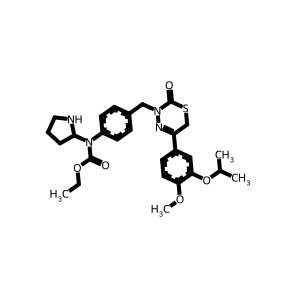 CCOC(=O)N(c1ccc(CN2N=C(c3ccc(OC)c(OC(C)C)c3)CSC2=O)cc1)C1CCCN1